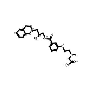 CN(CCOc1cccc(C(=O)NCC(O)CN2CCc3ccccc3C2)c1)CC(N)=O